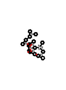 C1#Cc2c(n(-c3cccc(-c4nc(-c5ccccc5)nc(-c5cc(-n6c7ccccc7c7ccccc76)c(-n6c7ccccc7c7cc(-n8c9ccccc9c9ccc(-c%10ccc%11c(c%10)c%10ccccc%10n%11-c%10ccccc%10)cc98)ccc76)c(-n6c7ccccc7c7ccccc76)c5)n4)c3)c3ccccc23)CC1